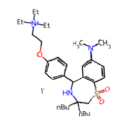 CCCCC1(CCCC)CS(=O)(=O)c2ccc(N(C)C)cc2C(c2ccc(OCC[N+](CC)(CC)CC)cc2)N1.[I-]